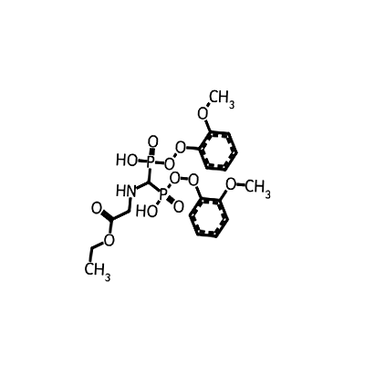 CCOC(=O)CNC(P(=O)(O)OOc1ccccc1OC)P(=O)(O)OOc1ccccc1OC